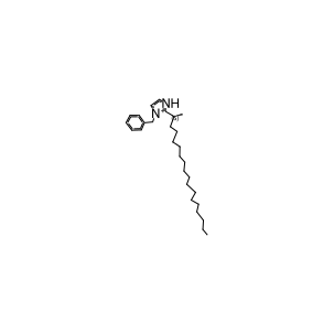 CCCCCCCCCCCCCCCC[C@H](C)c1[nH]cc[n+]1Cc1ccccc1